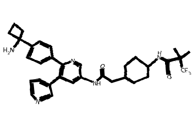 CC(C)(C(=O)NC1CCC(CC(=O)Nc2cnc(-c3ccc(C4(N)CCC4)cc3)c(-c3cccnc3)c2)CC1)C(F)(F)F